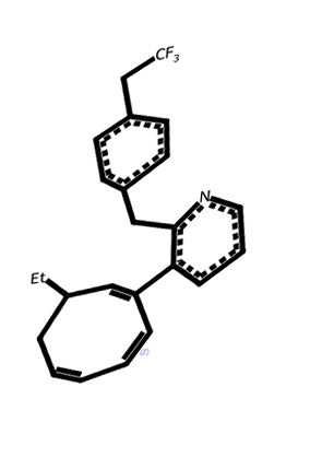 CCC1C=C(c2cccnc2Cc2ccc(CC(F)(F)F)cc2)/C=C\C=CC1